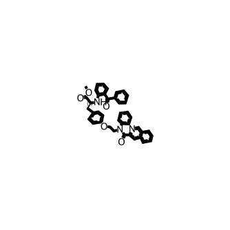 COC(=O)[C@H](Cc1ccc(OCCN(C(=O)c2cc3ccccc3cn2)c2ccccc2)cc1)Nc1ccccc1C(=O)c1ccccc1